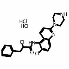 Cl.Cl.O=C(Nc1c(Cl)ccc2nc(N3CCNCC3)ccc12)C(Cl)Cc1ccccc1